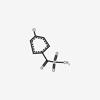 CS(=O)(=O)C(=O)c1ccc(Cl)cc1